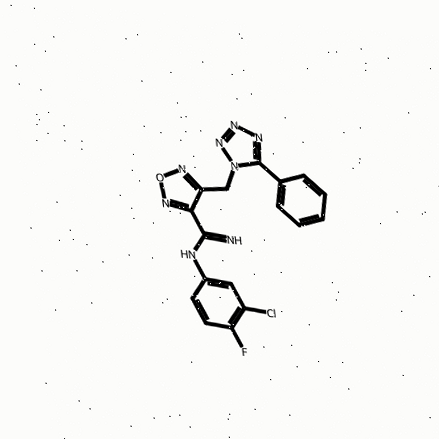 N=C(Nc1ccc(F)c(Cl)c1)c1nonc1Cn1nnnc1-c1ccccc1